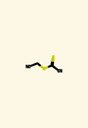 N#CCSC(=S)C#N